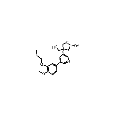 CCCOc1cc(-c2cncc(C3(CO)COB(O)C3)c2)ccc1OC